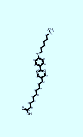 COCCCCCCOc1ccc(-c2ncc(CCCCCCCCCC(=O)O)cn2)cc1